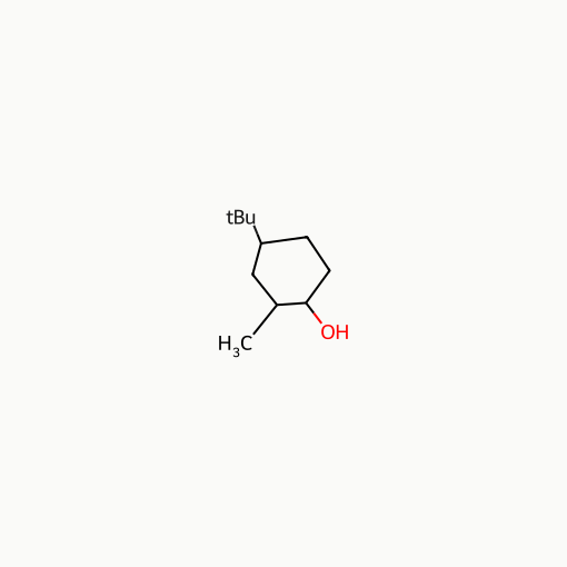 CC1CC(C(C)(C)C)CCC1O